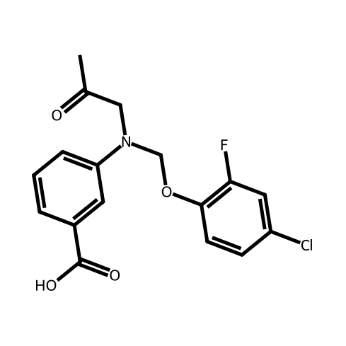 CC(=O)CN(COc1ccc(Cl)cc1F)c1cccc(C(=O)O)c1